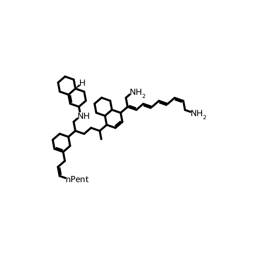 CCCCC/C=C\CC1=CCCC(C(CCC(C)C2C=CC(/C(=C/C=C/C=C/C=C\CN)CN)C3CCCCC23)CNC2C=C3CCCC[C@@H]3CC2)C1